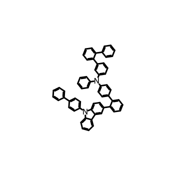 c1ccc(-c2ccc(-n3c4ccccc4c4cc(-c5ccccc5-c5ccc(N(c6ccccc6)c6cccc(-c7ccccc7-c7ccccc7)c6)cc5)ccc43)cc2)cc1